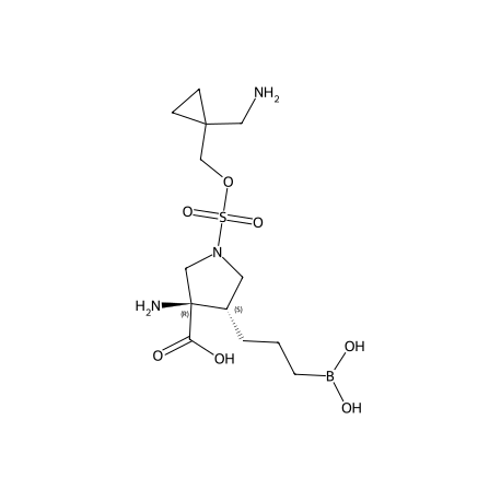 NCC1(COS(=O)(=O)N2C[C@H](CCCB(O)O)[C@](N)(C(=O)O)C2)CC1